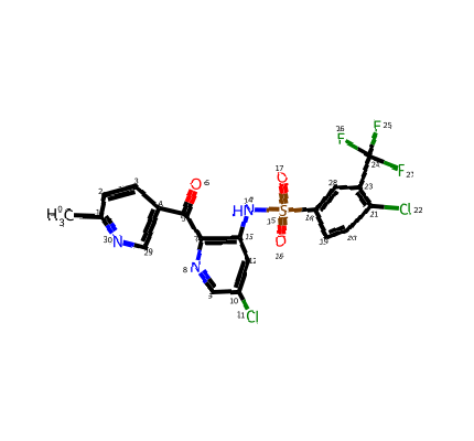 Cc1ccc(C(=O)c2ncc(Cl)cc2NS(=O)(=O)c2ccc(Cl)c(C(F)(F)F)c2)cn1